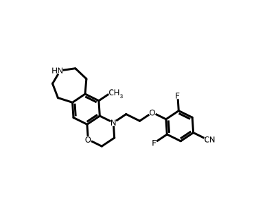 Cc1c2c(cc3c1N(CCOc1c(F)cc(C#N)cc1F)CCO3)CCNCC2